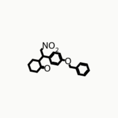 O=C1CCCCC1C(C[N+](=O)[O-])c1ccc(OCc2ccccc2)cc1